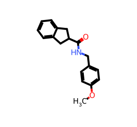 COc1ccc(CNC(=O)C2Cc3ccccc3C2)cc1